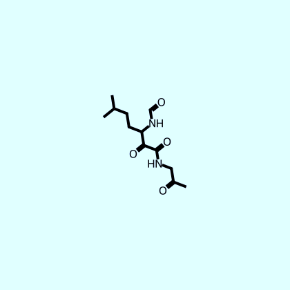 CC(=O)CNC(=O)C(=O)C(CCC(C)C)NC=O